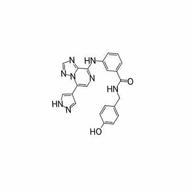 O=C(NCc1ccc(O)cc1)c1cccc(Nc2ncc(-c3cn[nH]c3)n3ncnc23)c1